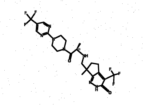 C[C@@H](NCC1(C)CCc2c1n[nH]c(=O)c2C(F)(F)F)C(=O)N1CCN(c2ncc(C(F)(F)F)cn2)CC1